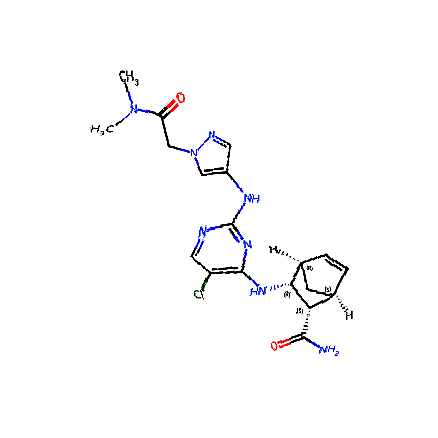 CN(C)C(=O)Cn1cc(Nc2ncc(Cl)c(N[C@H]3[C@@H](C(N)=O)[C@@H]4C=C[C@H]3C4)n2)cn1